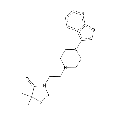 CC1(C)SCN(CCN2CCN(c3csc4ncccc34)CC2)C1=O